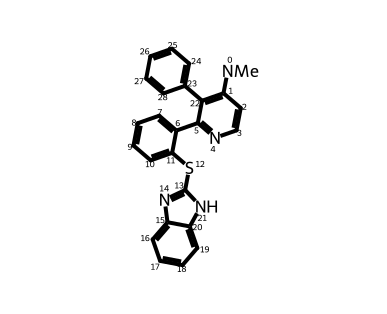 CNc1ccnc(-c2ccccc2Sc2nc3ccccc3[nH]2)c1-c1ccccc1